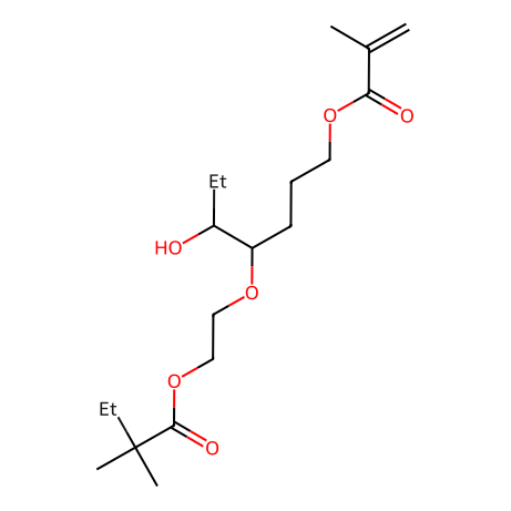 C=C(C)C(=O)OCCCC(OCCOC(=O)C(C)(C)CC)C(O)CC